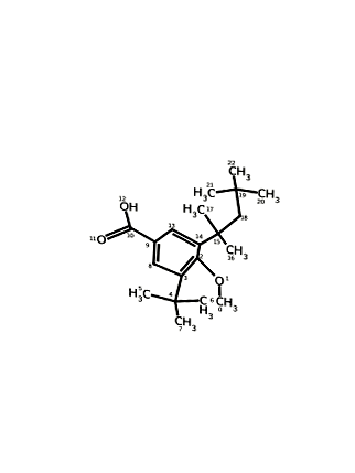 COc1c(C(C)(C)C)cc(C(=O)O)cc1C(C)(C)CC(C)(C)C